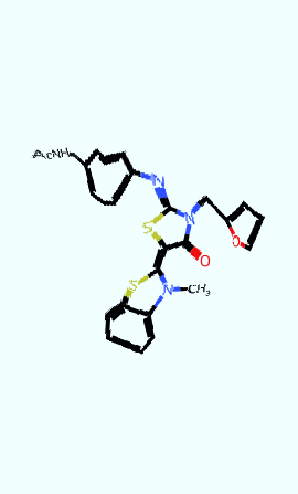 CC(=O)Nc1ccc(/N=C2\S/C(=C3\Sc4ccccc4N3C)C(=O)N2Cc2ccco2)cc1